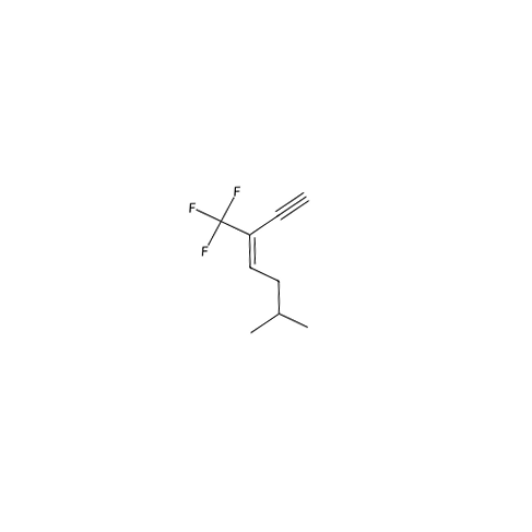 C#C/C(=C\CC(C)C)C(F)(F)F